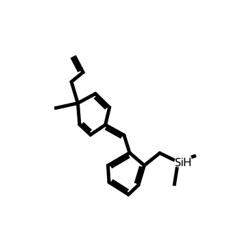 C=CCC1(C)C=CC(=Cc2ccccc2C[SiH](C)C)C=C1